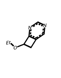 CCOC1Cc2cncnc21